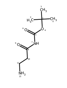 CC(C)(C)OC(=O)NC(=O)CCN